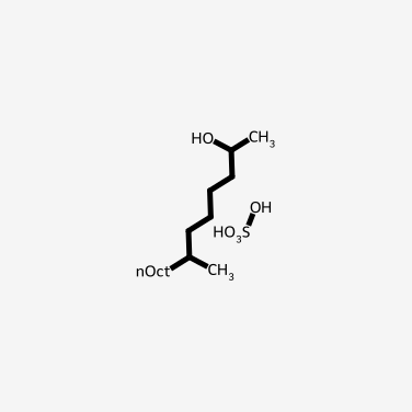 CCCCCCCCC(C)CCCCC(C)O.O=S(=O)(O)O